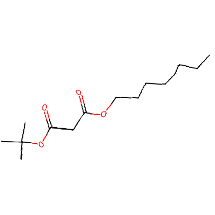 CCCCCCCOC(=O)CC(=O)OC(C)(C)C